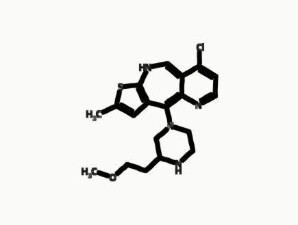 COCCC1CN(C2=c3nccc(Cl)c3=CNc3sc(C)cc32)CCN1